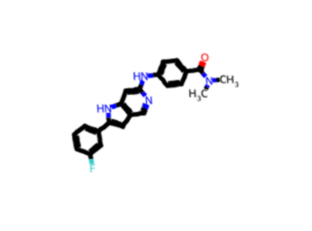 CN(C)C(=O)c1ccc(Nc2cc3[nH]c(-c4cccc(F)c4)cc3cn2)cc1